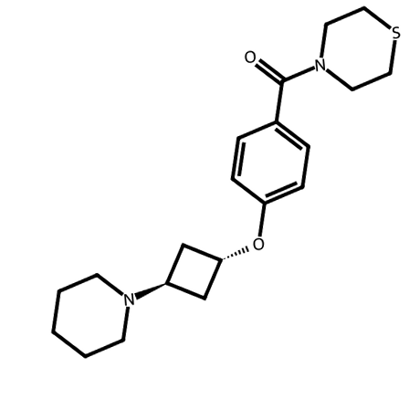 O=C(c1ccc(O[C@H]2C[C@H](N3CCCCC3)C2)cc1)N1CCSCC1